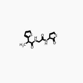 CC(C(=O)NCC(=O)NC1C=CSC1=O)c1cccs1